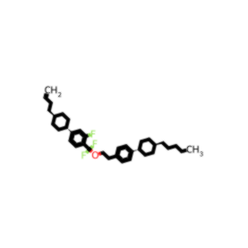 C=CCC[C@H]1CC[C@H](c2ccc(C(F)(F)OCCc3ccc([C@H]4CC[C@H](CCCCC)CC4)cc3)c(F)c2)CC1